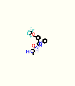 C=C1C[C@H](C(=O)Nc2cc(-c3cccc(COC(C(F)(F)F)C(F)(F)F)c3)n(-c3ccccc3)n2)CN1